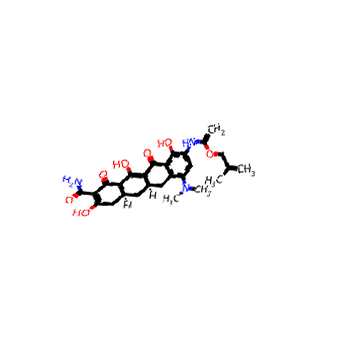 C=C(Nc1cc(N(C)C)c2c(c1O)C(=O)C1=C(O)C3C(=O)C(C(N)=O)=C(O)C[C@@H]3C[C@@H]1C2)OCC(C)C